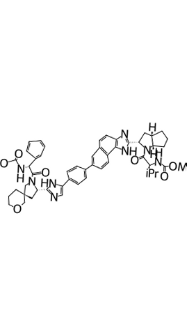 COC(=O)N[C@H](C(=O)N1[C@H](c2nc3ccc4cc(-c5ccc(-c6cnc([C@@H]7C[C@@]8(CCCOC8)CN7C(=O)[C@H](NC(=O)OC)c7ccccc7)[nH]6)cc5)ccc4c3[nH]2)C[C@@H]2CCC[C@@H]21)C(C)C